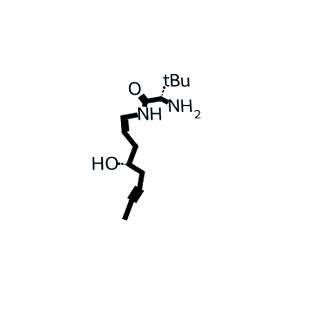 CC#CC[C@H](O)C/C=C\NC(=O)[C@@H](N)C(C)(C)C